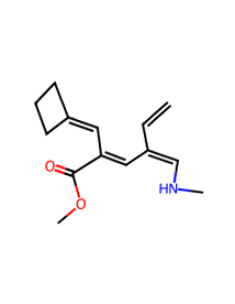 C=CC(=C/NC)/C=C(\C=C1CCC1)C(=O)OC